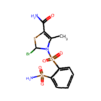 CC1=C(C(N)=O)SC(Br)N1S(=O)(=O)c1ccccc1S(N)(=O)=O